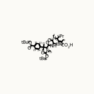 C/C(=C\C(C(C)C)N(C)C(=O)C(NC(=O)C(N(C)C(=O)OC(C)(C)C)C(C)(C)c1ccc(C(=O)OC(C)(C)C)cc1)C(C)(C)C)C(=O)O